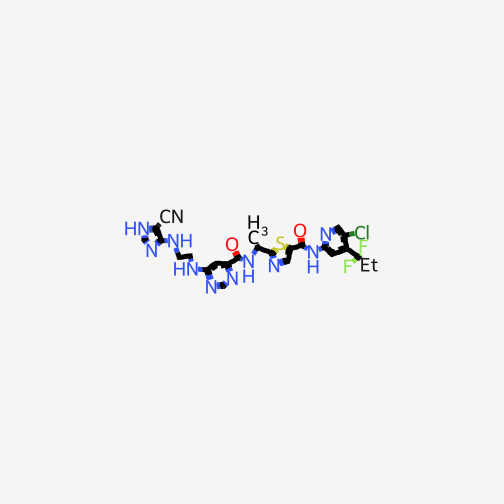 CCC(F)(F)c1cc(NC(=O)c2cnc(C(C)NC(=O)c3cc(NCCNc4nc[nH]c4C#N)ncn3)s2)ncc1Cl